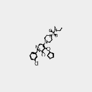 CCN(C)S(=O)(=O)N1CCN(c2cnn(-c3cccc(Cl)c3)c(=O)c2OC2CCCC2)CC1